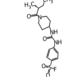 CC[C@H](C)C(=O)N1CCC(NC(=O)Nc2ccc(S(=O)(=O)F)cc2)CC1